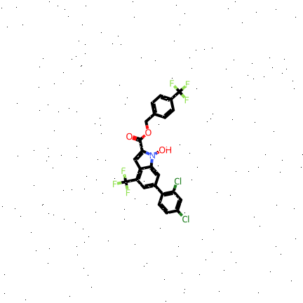 O=C(OCc1ccc(C(F)(F)F)cc1)c1cc2c(C(F)(F)F)cc(-c3ccc(Cl)cc3Cl)cc2n1O